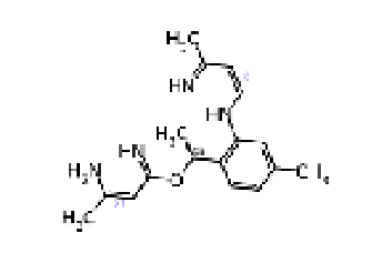 CC(=N)/C=C\Nc1cc(C)ccc1[C@H](C)OC(=N)/C=C(/C)N